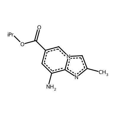 Cc1cn2cc(C(=O)OC(C)C)cc(N)c2n1